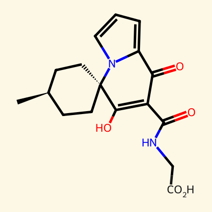 C[C@H]1CC[C@@]2(CC1)C(O)=C(C(=O)NCC(=O)O)C(=O)c1cccn12